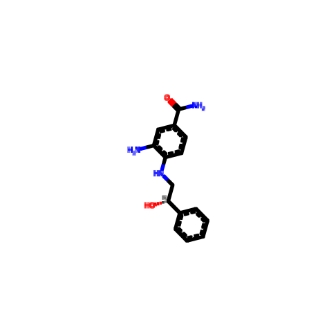 NC(=O)c1ccc(NC[C@@H](O)c2ccccc2)c(N)c1